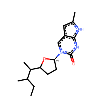 CCC(C)C(C)C1CC[C@H](n2cc3cc(C)[nH]c3nc2=O)O1